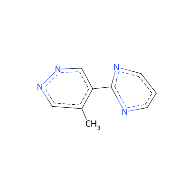 Cc1cnncc1-c1ncccn1